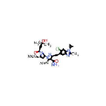 CNc1c(C(N)=O)c(C#Cc2cc3nc(C)n(C4CC4)c3cc2Cl)nn1[C@H]1C[C@H](COC)N(C(=O)C#CC(C)(C)O)C1